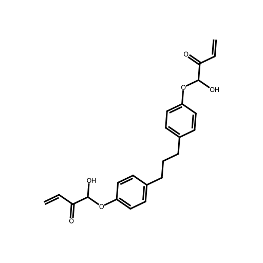 C=CC(=O)C(O)Oc1ccc(CCCc2ccc(OC(O)C(=O)C=C)cc2)cc1